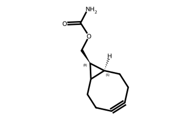 NC(=O)OC[C@@H]1C2CCC#CCC[C@@H]21